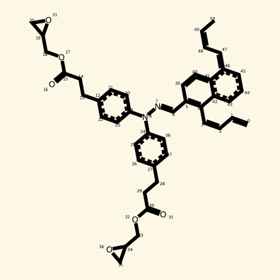 C=C/C=C\C1=C(C=NN(c2ccc(CCC(=O)OCC3CO3)cc2)c2ccc(CCC(=O)OCC3CO3)cc2)C=C=c2c1ccc/c2=C/C=C\C